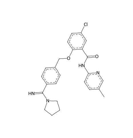 Cc1ccc(NC(=O)c2cc(Cl)ccc2OCc2ccc(C(=N)N3CCCC3)cc2)nc1